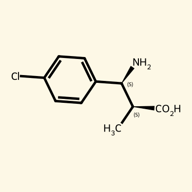 C[C@H](C(=O)O)[C@H](N)c1ccc(Cl)cc1